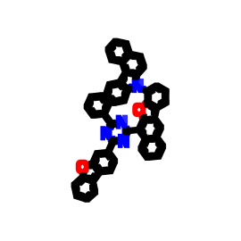 c1ccc(-c2nc(-c3ccc4c(c3)oc3ccccc34)nc(-c3c4ccccc4cc4c3oc3c(-n5c6ccccc6c6c7ccccc7ccc65)cccc34)n2)cc1